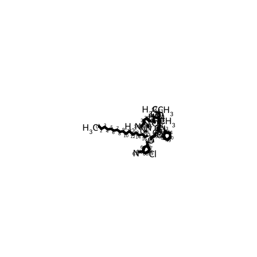 CCCCCCCCCCCCCCCCCC[C@H](COP(=O)(OC[C@@]1(C)O[C@@H](c2ccc3c(N)ncnn23)[C@@H]2OC(C)(C)O[C@@H]21)Oc1ccccc1Cl)OCc1cc(Cl)cc(C#N)c1